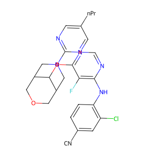 [C-]#[N+]c1ccc(Nc2ncnc(OC3C4COCC3CN(c3ncc(CCC)cn3)C4)c2F)c(Cl)c1